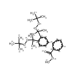 CC(C)(C)OOC(C)(C)c1ccccc1C(C)(C)OOC(C)(C)C.O=C(OO)c1ccccc1